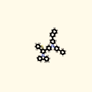 c1ccc(-c2ccc(N(c3ccc(-c4ccc5ccccc5c4)cc3)c3ccc(-c4cc(-n5c6ccccc6c6ccccc65)cc5c4sc4ccccc45)cc3)cc2)cc1